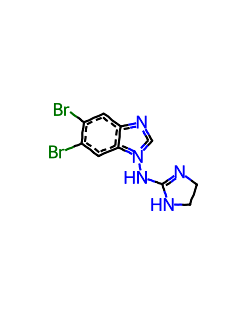 Brc1cc2ncn(NC3=NCCN3)c2cc1Br